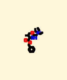 CC[N+](CC)(CC)CC(=O)NC(C(=O)OCc1ccccc1)C(C)C